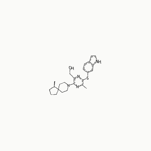 Cc1nc(N2CCC3(CCC[C@H]3C)CC2)c(CO)nc1Sc1ccc2cc[nH]c2c1